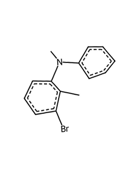 Cc1c(Br)cccc1N(C)c1ccccc1